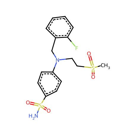 CS(=O)(=O)CCN(Cc1ccccc1F)c1ccc(S(N)(=O)=O)cc1